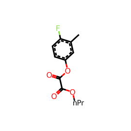 CCCOC(=O)C(=O)Oc1ccc(F)c(C)c1